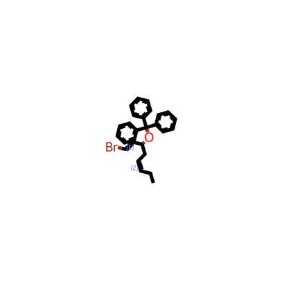 CC/C=C\CC(/C=C/Br)OC(c1ccccc1)(c1ccccc1)c1ccccc1